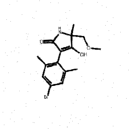 COCC1(C)NC(=O)C(c2c(C)cc(Br)cc2C)=C1O